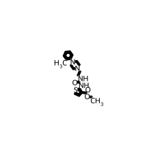 CCOC(=O)c1ccsc1NC(=O)NCCN1CCN(c2ccccc2C)CC1